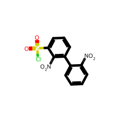 O=[N+]([O-])c1ccccc1-c1cccc(S(=O)(=O)Cl)c1[N+](=O)[O-]